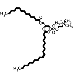 CCCC/C=C\CCCCCCCC(=O)OC[C@H](COP(=O)([O-])OCC[N+](C)(C)C)OC(=O)CCCCCCC/C=C\CCCCCCCCC